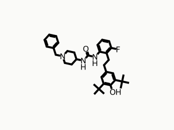 CC(C)(C)c1cc(CCc2c(F)cccc2NC(=O)NC2CCN(Cc3ccccc3)CC2)cc(C(C)(C)C)c1O